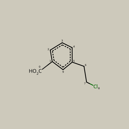 O=C(O)c1cccc(CCCl)c1